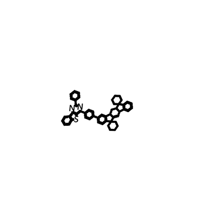 C1=C2C(CC3C1c1ccccc1C31CCCCC1)c1cc(-c3ccc(-c4nc(-c5ccccc5)nc5c4sc4ccccc45)cc3)ccc1C21CCCCC1